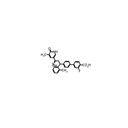 Cc1ccccc1C(C/C(=N\O)c1c[nH]c(=O)c(C)c1)c1ccc(-c2ccc(C(=O)O)c(F)c2)cc1